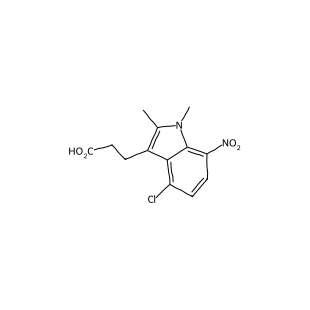 Cc1c(CCC(=O)O)c2c(Cl)ccc([N+](=O)[O-])c2n1C